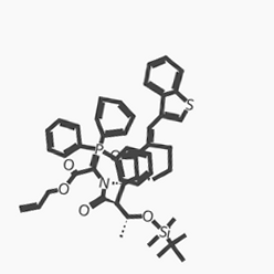 C=CCOC(=O)C(N1C(=O)[C@H]([C@@H](C)O[Si](C)(C)C(C)(C)C)[C@H]1[C@H]1CCC/C(=C\c2csc3ccccc23)C1=O)=P(c1ccccc1)(c1ccccc1)c1ccccc1